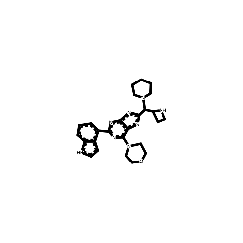 c1cc(-c2nc(N3CCOCC3)c3sc(C(C4CCN4)N4CCCCC4)nc3n2)c2cc[nH]c2c1